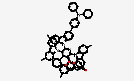 Cc1ccc2c(c1)c1cc(C)ccc1n2-c1nc(-n2c3ccccc3c3cc(-c4ccc(N(c5ccccc5)c5ccccc5)cc4)ccc32)c(-n2c3ccc(C)cc3c3cc(C)ccc32)c(-c2ccccc2-c2ccc(C)nc2C)c1-n1c2ccc(C)cc2c2cc(C)ccc21